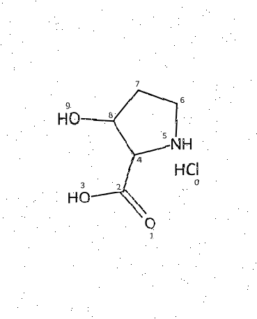 Cl.O=C(O)C1NCCC1O